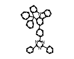 c1ccc(-c2nc(-c3ccccc3)nc(-c3ccc(-c4cc5c6c(c4)c4ccccc4n6-c4ccccc4C5(c4ccccc4)c4ccccc4)cc3)n2)cc1